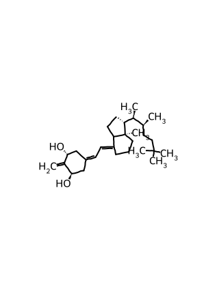 C=C1[C@H](O)CC(=C/C=C2\CCC[C@@]3(C)C2CC[C@@H]3[C@@H](C)[C@@H](C)CCC(C)(C)C)C[C@H]1O